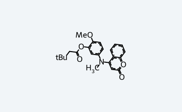 COc1ccc(N(C)c2cc(=O)oc3ccccc23)cc1OC(=O)CC(C)(C)C